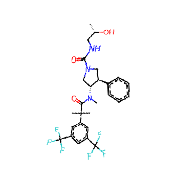 C[C@H](O)CNC(=O)N1C[C@@H](N(C)C(=O)C(C)(C)c2cc(C(F)(F)F)cc(C(F)(F)F)c2)[C@H](c2ccccc2)C1